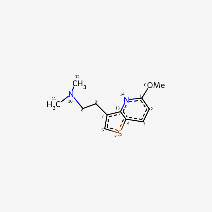 COc1ccc2scc(CCN(C)C)c2n1